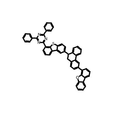 c1ccc(-c2nc(-c3ccccc3)nc(-c3cccc4c3sc3ccc(C5Cc6ccc(-c7cccc8c7oc7ccccc78)cc6-c6ccccc65)cc34)n2)cc1